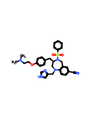 CN(C)CCOc1ccc(C[C@@H]2CN(Cc3c[nH]cn3)c3ccc(C#N)cc3CN2S(=O)(=O)c2ccccc2)cc1